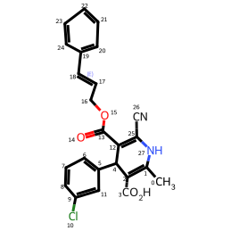 CC1=C(C(=O)O)C(c2cccc(Cl)c2)C(C(=O)OC/C=C/c2ccccc2)=C(C#N)N1